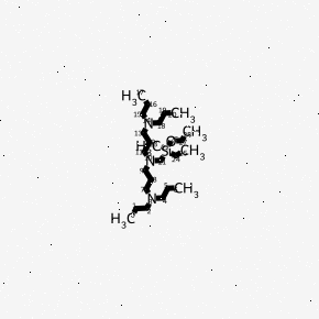 CCCN(CCC)CCCN(CCCN(CCC)CCC)C[Si](C)(CC)OCC